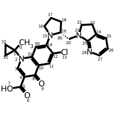 CC1(n2cc(C(=O)O)c(=O)c3cc(Cl)c(N4CCC[C@@H]4CN4CCc5cccnc54)cc32)CC1